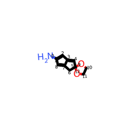 NC1=CC2=CC3(CC2=C1)OCCO3